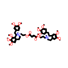 COc1ccc(CC2c3c(cc(OC)c(OC)c3OC)CC[N+]2(C)CCCOC(=O)/C=C/C(=O)OCCC[N+]2(C)CCc3cc(OC)c(OC)cc3C2Cc2cc(OC)c(OC)c(OC)c2)cc1OC